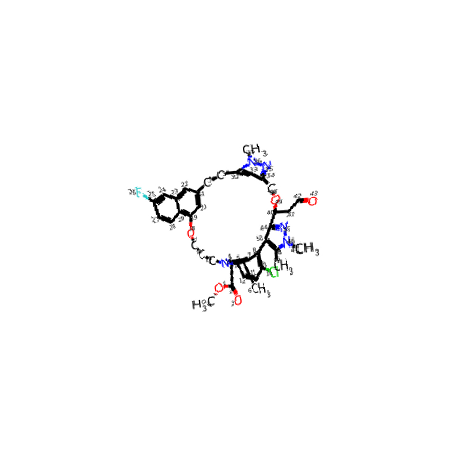 COC(=O)c1c(C)c2c3c(Cl)ccc2n1CCCOc1cc(cc2cc(F)ccc12)CCc1cc(nn1C)COC(CC=O)c1nn(C)c(C)c1-3